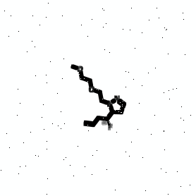 C=CC[C@@H](F)C1CC=NN1CCOCCOC